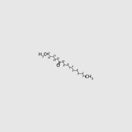 CCCCCCCCCCCC(=O)CCCCCC